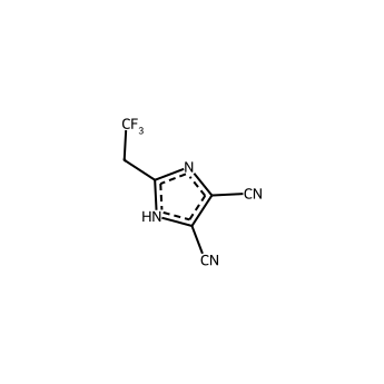 N#Cc1nc(CC(F)(F)F)[nH]c1C#N